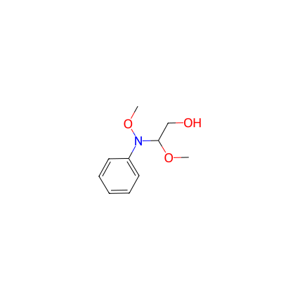 COC(CO)N(OC)c1ccccc1